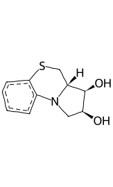 O[C@@H]1[C@H]2CSc3ccccc3N2C[C@@H]1O